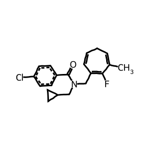 CC1=CCC=CC(CN(CC2CC2)C(=O)c2ccc(Cl)cc2)=C1F